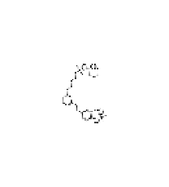 CC(C)(CCCCCc1cccc(C=Cc2ccc3c(c2)COC(C)(C)O3)c1)OC1CCCCO1